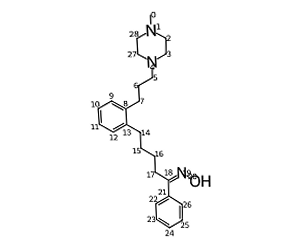 CN1CCN(CCCc2ccccc2CCCCC(=NO)c2ccccc2)CC1